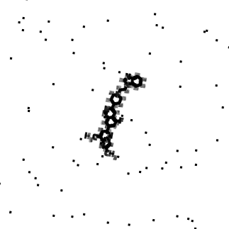 Cc1cn2nc(-c3cc(F)c4cc(C5CCN(CCn6cnc7ccccc76)CC5)nnc4c3)cc(C)c2n1